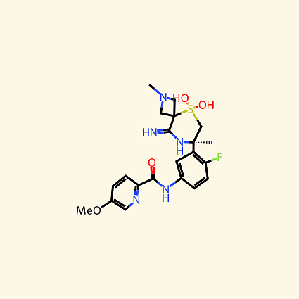 COc1ccc(C(=O)Nc2ccc(F)c([C@]3(C)CS(O)(O)C4(CN(C)C4)C(=N)N3)c2)nc1